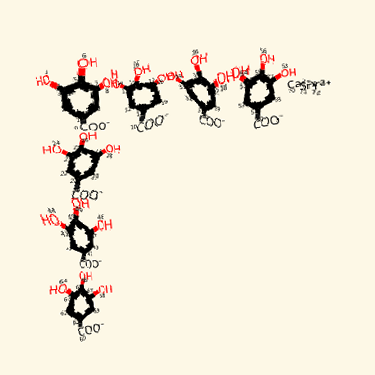 O=C([O-])c1cc(O)c(O)c(O)c1.O=C([O-])c1cc(O)c(O)c(O)c1.O=C([O-])c1cc(O)c(O)c(O)c1.O=C([O-])c1cc(O)c(O)c(O)c1.O=C([O-])c1cc(O)c(O)c(O)c1.O=C([O-])c1cc(O)c(O)c(O)c1.O=C([O-])c1cc(O)c(O)c(O)c1.[Ca+2].[Sr+2].[Y+3]